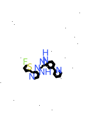 Fc1ccc(-c2nccc3[nH]c(-c4n[nH]c5ccc(-c6ccccn6)cc45)nc23)s1